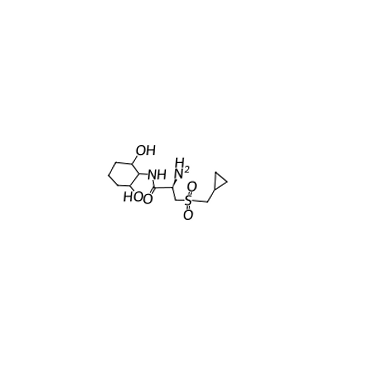 N[C@@H](CS(=O)(=O)CC1CC1)C(=O)NC1C(O)CCCC1O